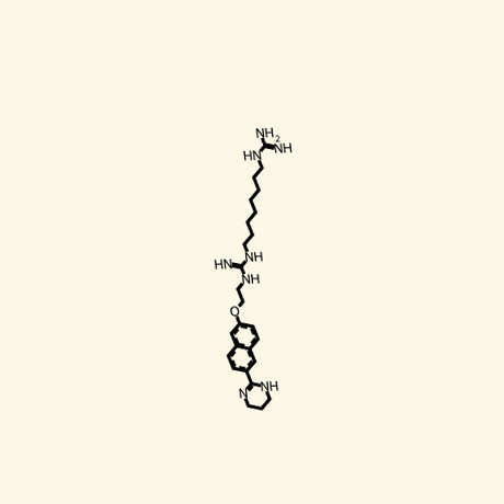 N=C(N)NCCCCCCCCNC(=N)NCCOc1ccc2cc(C3=NCCCN3)ccc2c1